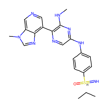 CNc1nc(Nc2ccc([S@](=N)(=O)C(C)C)cc2)cnc1-c1cncc2c1ncn2C